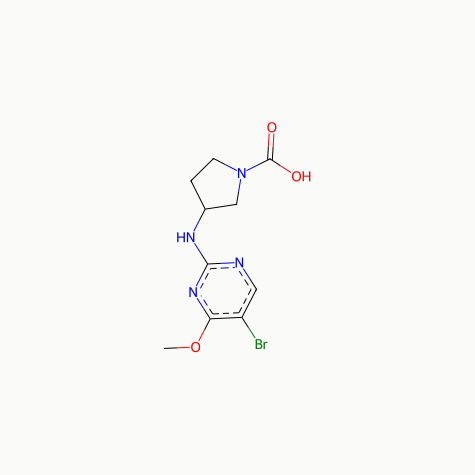 COc1nc(NC2CCN(C(=O)O)C2)ncc1Br